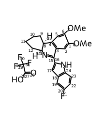 COc1cc2c(cc1OC)[C@@H]1CCCC[C@@H]1N=C2c1cc2cc(F)ccc2[nH]1.O=C(O)C(F)(F)F